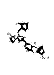 O=C(O)[C@H]1CC[C@@H](Nc2nc(-c3cc(-c4ccon4)n(Cc4ccccc4F)n3)ncc2F)C1